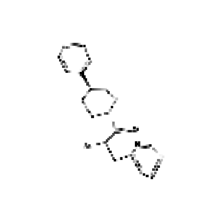 CC(=O)C(Cc1ccccn1)C(=O)[C@H]1CC[C@H](c2ccccc2)CC1